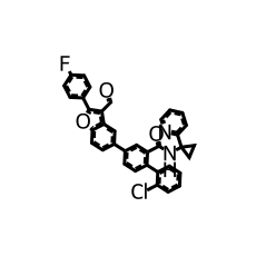 O=Cc1c(-c2ccc(F)cc2)oc2ccc(-c3ccc(-c4ccccc4Cl)c(C(=O)NC4(c5ccccn5)CC4)c3)cc12